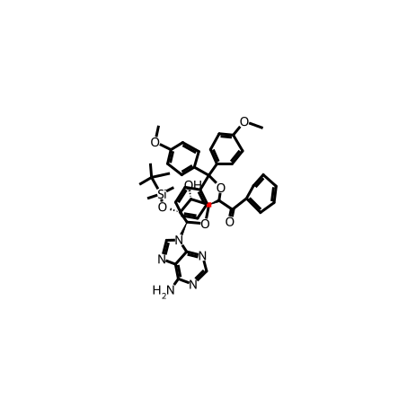 COc1ccc(C(OC(C(=O)c2ccccc2)[C@H]2O[C@@H](n3cnc4c(N)ncnc43)[C@H](O[Si](C)(C)C(C)(C)C)[C@@H]2O)(c2ccccc2)c2ccc(OC)cc2)cc1